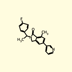 Cc1cc(-c2cccnc2)cc2c1C(=O)N(C(C)c1ccc(F)cc1)C2